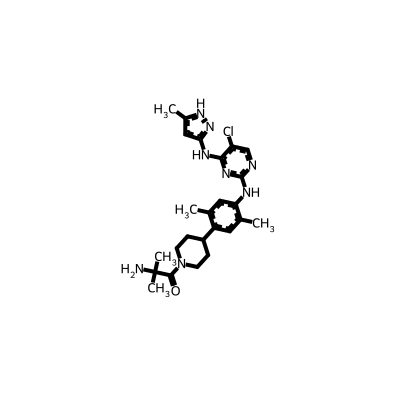 Cc1cc(Nc2nc(Nc3cc(C)c(C4CCN(C(=O)C(C)(C)N)CC4)cc3C)ncc2Cl)n[nH]1